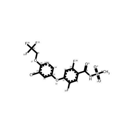 CS(=O)(=O)NC(=O)c1cc(F)c(Oc2cnc(OCC(F)(F)F)c(Cl)c2)cc1F